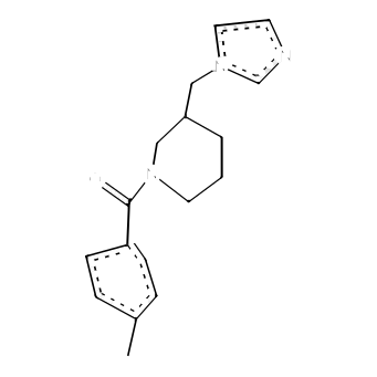 Cc1ccc(C(=O)N2CCCC(Cn3ccnc3)C2)cc1